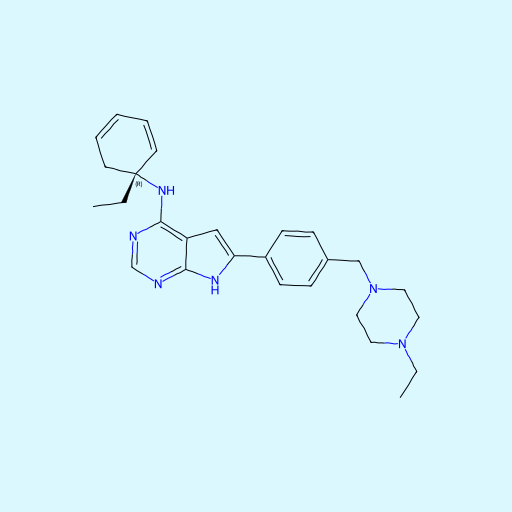 CCN1CCN(Cc2ccc(-c3cc4c(N[C@@]5(CC)C=CC=CC5)ncnc4[nH]3)cc2)CC1